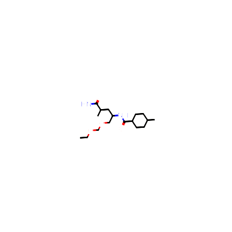 CCOCOCC(CC(C)C(=O)NO)NC(=O)C1CCC(C)CC1